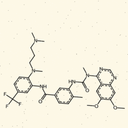 COc1cc2ncnc(N(C)C(=O)Nc3cc(C(=O)Nc4cc(C(F)(F)F)ccc4N(C)CCCN(C)C)ccc3C)c2cc1OC